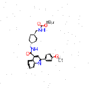 CCOc1ccc(-c2cc(C(=O)NC[C@H]3CC[C@H](CNC(=O)OC(C)(C)C)CC3)c3ccccc3n2)cc1